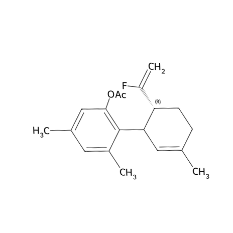 C=C(F)[C@@H]1CCC(C)=CC1c1c(C)cc(C)cc1OC(C)=O